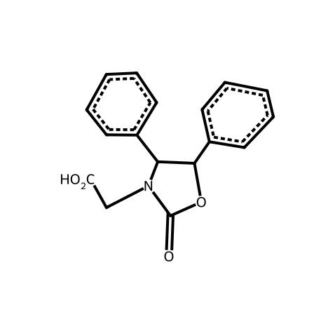 O=C(O)CN1C(=O)OC(c2ccccc2)C1c1ccccc1